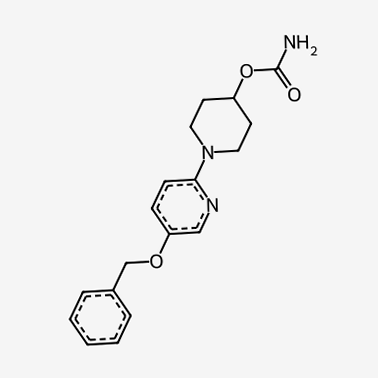 NC(=O)OC1CCN(c2ccc(OCc3ccccc3)cn2)CC1